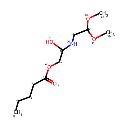 CCCCC(=O)OCC(O)NCC(OC)OC